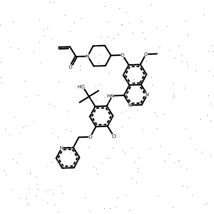 C=CC(=O)N1CCC(Oc2cc3c(Nc4cc(Cl)c(OCc5ccccn5)cc4C(C)(C)O)ncnc3cc2OC)CC1